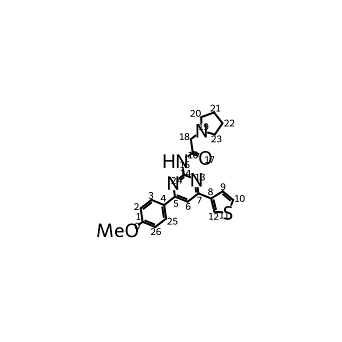 COc1ccc(-c2cc(-c3ccsc3)nc(NC(=O)CN3CCCC3)n2)cc1